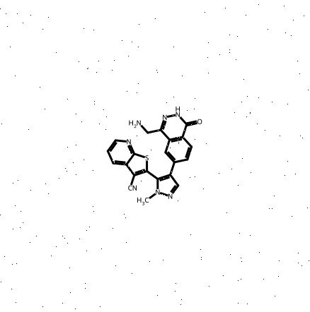 Cn1ncc(-c2ccc3c(=O)[nH]nc(CN)c3c2)c1-c1sc2ncccc2c1C#N